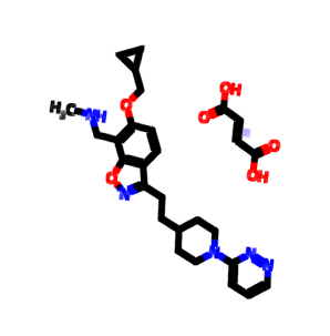 CNCc1c(OCC2CC2)ccc2c(CCC3CCN(c4cccnn4)CC3)noc12.O=C(O)/C=C/C(=O)O